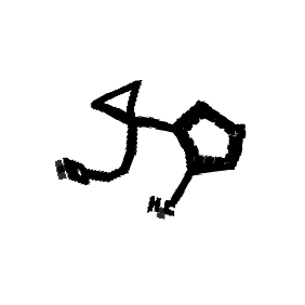 Cc1cscc1C1(CO)CC1